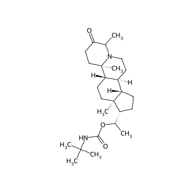 CC(OC(=O)NC(C)(C)C)[C@H]1CC[C@H]2[C@@H]3CCN4C(C)C(=O)CC[C@]4(C)[C@H]3CC[C@]12C